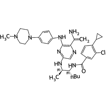 C=C(N)c1ncc(N[C@H](C)[C@@H](CCCC)NC(=O)c2ccc(C3CC3)c(Cl)c2)nc1Nc1ccc(N2CCN(C)CC2)cc1